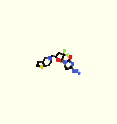 Nc1ccn([C@@H]2OC(CN3CCc4sccc4C3)CC2(F)F)c(=O)n1